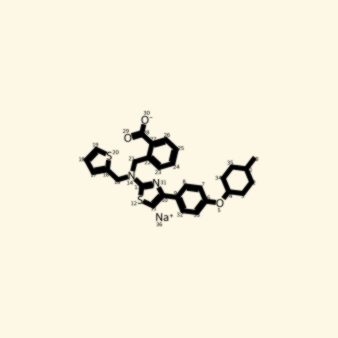 CC1CCC(Oc2ccc(-c3csc(N(Cc4cccs4)Cc4ccccc4C(=O)[O-])n3)cc2)CC1.[Na+]